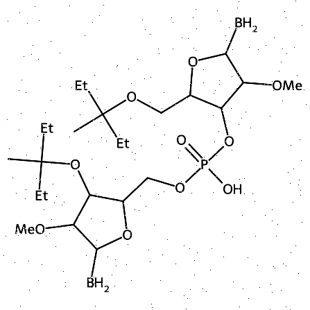 BC1OC(COP(=O)(O)OC2C(COC(C)(CC)CC)OC(B)C2OC)C(OC(C)(CC)CC)C1OC